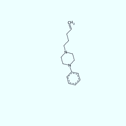 C=CCCCN1CCN(c2ccccc2)CC1